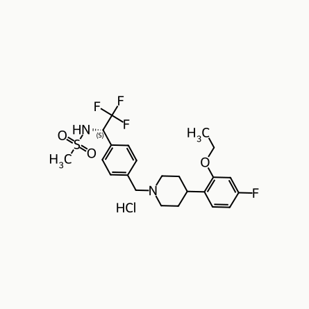 CCOc1cc(F)ccc1C1CCN(Cc2ccc([C@H](NS(C)(=O)=O)C(F)(F)F)cc2)CC1.Cl